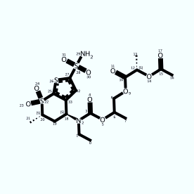 CCN(C(=O)OC(C)COC(=O)[C@H](C)OC(C)=O)[C@H]1C[C@H](C)S(=O)(=O)c2sc(S(N)(=O)=O)cc21